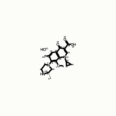 COc1c(N2CCN[C@@H](C)C2)c(F)cc2c(=O)c(C(=O)O)cn(C3CC3)c12.Cl